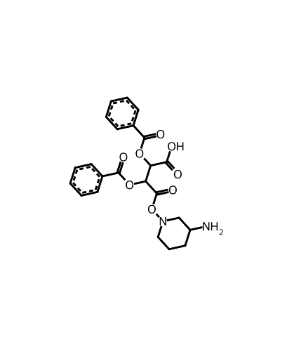 NC1CCCN(OC(=O)C(OC(=O)c2ccccc2)C(OC(=O)c2ccccc2)C(=O)O)C1